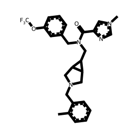 Cc1ccccc1CN1CC2C(C1)C2CN(Cc1cccc(OC(F)(F)F)c1)C(=O)c1cn(C)cn1